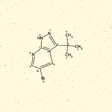 CC(C)(C)c1n[nH]c2ncc(Br)cc12